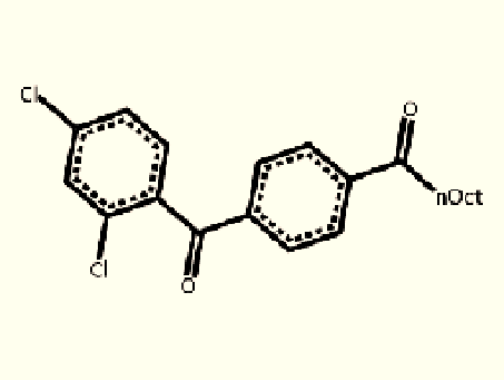 CCCCCCCCC(=O)c1ccc(C(=O)c2ccc(Cl)cc2Cl)cc1